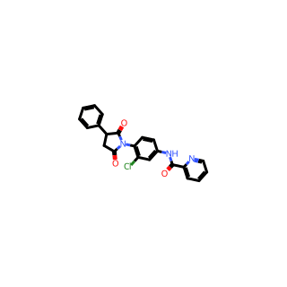 O=C(Nc1ccc(N2C(=O)CC(c3ccccc3)C2=O)c(Cl)c1)c1ccccn1